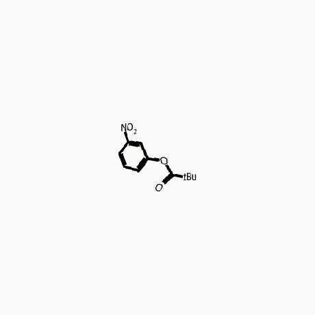 CC(C)(C)C(=O)Oc1cccc([N+](=O)[O-])c1